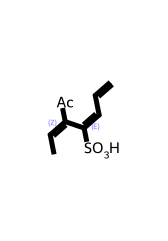 C=C/C=C(\C(=C/C)C(C)=O)S(=O)(=O)O